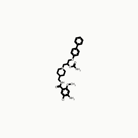 COc1cc(N)c(Cl)cc1C(=O)NCC1CCN(CC(COc2ccc(-c3ccccc3)cc2)OC(N)=O)CC1